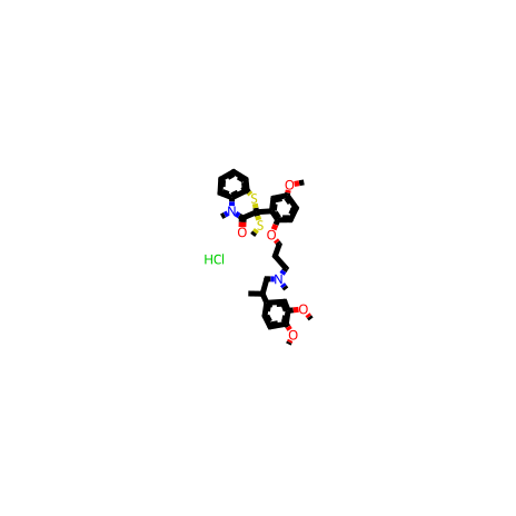 COc1ccc(OCCCN(C)CC(C)c2ccc(OC)c(OC)c2)c(C2(SC)Sc3ccccc3N(C)C2=O)c1.Cl